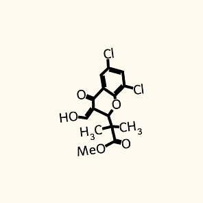 COC(=O)C(C)(C)C1Oc2c(Cl)cc(Cl)cc2C(=O)/C1=C\O